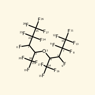 FC(C(OC(C(F)C(F)(F)C(F)(F)F)C(F)(F)F)C(F)(F)F)C(F)(F)C(F)(F)F